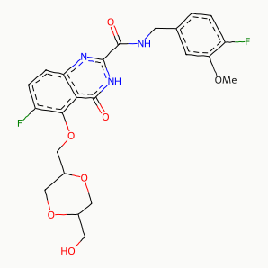 COc1cc(CNC(=O)c2nc3ccc(F)c(OCC4COC(CO)CO4)c3c(=O)[nH]2)ccc1F